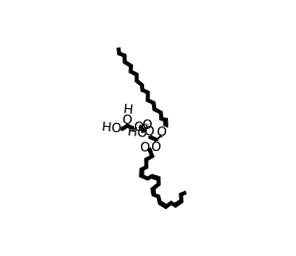 CC/C=C\C/C=C\C/C=C\C/C=C\C/C=C\CCCC(=O)O[C@H](CO/C=C\CCCCCCCCCCCCCCCC)COP(=O)(O)OC[C@@H](O)CO